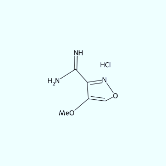 COc1conc1C(=N)N.Cl